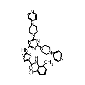 Cc1cccc(Cl)c1NC(=O)c1cnc(Nc2nc(N3CCN(c4ccncc4)CC3)nc(N3CCN(c4ccncc4)CC3)n2)s1